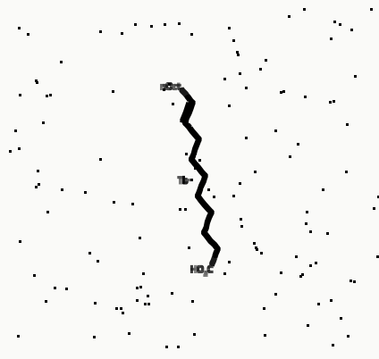 CCCCCCCCC=CCCCCCCCC(=O)O.[Tb]